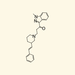 Cn1nc(C(=O)CCN2CCCC(C=Cc3ccccc3)C2)c2ccccc21